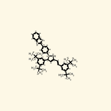 CC(C)(C)c1cc(C=CC2=CC(c3cc(C(C)(C)C)cc(C(C)(C)C)c3)N(c3ccc(-c4nc5ccccc5o4)cc3)N2)cc(C(C)(C)C)c1